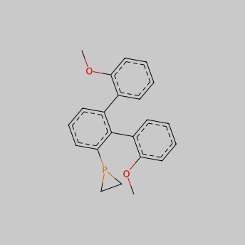 COc1ccccc1-c1cccc(P2CC2)c1-c1ccccc1OC